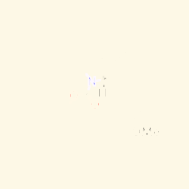 COc1ccc(-c2cccc3c2[C@H]2CC3CCN2C(=O)OCc2ccccc2)cc1